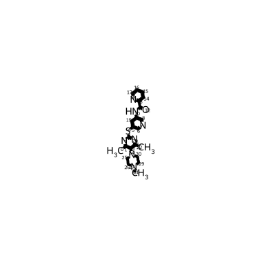 Cc1nc(Sc2cncc(NC(=O)c3ccccn3)c2)nc(C)c1N1CCN(C)CC1